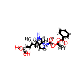 CC(C)C(OC(=O)C1CCCCC1)OC(=O)N1CC[C@H]2[C@@H]1CN[C@@]2(CCCCB(O)O)C(=O)O